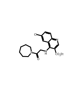 CCOC(=O)c1cnc2ccc(Cl)cc2c1NCC(=O)N1CCCCCC1